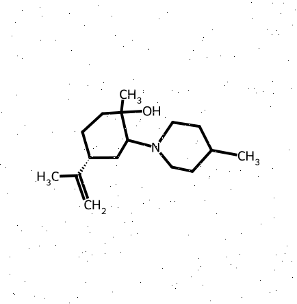 C=C(C)[C@@H]1CCC(C)(O)C(N2CCC(C)CC2)C1